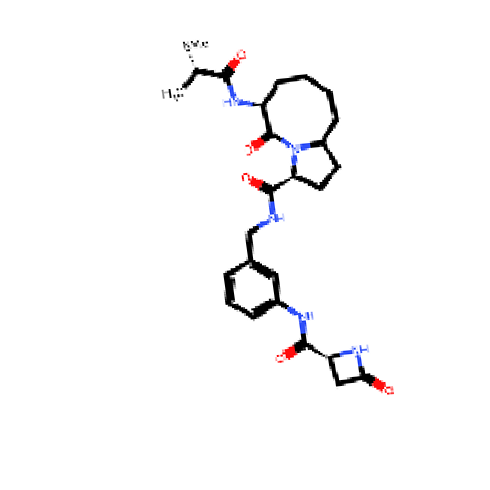 CN[C@@H](C)C(=O)N[C@H]1CCCCC2CC[C@@H](C(=O)NCc3cccc(NC(=O)[C@@H]4CC(=O)N4)c3)N2C1=O